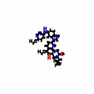 Cc1ccc(Nc2ccc3ncn(-c4ccc(C(C)O)c(N5CCN(CC(F)(F)F)C(=O)C5)n4)c3c2)nn1